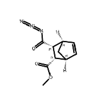 COC(=O)[C@@H]1[C@H](C(=O)N=[N+]=[N-])[C@H]2C=C[C@@H]1C2